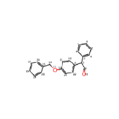 O=CC(c1ccccc1)c1ccc(OCc2ccccc2)cc1